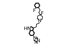 Fc1ccccc1CCC1(F)CCN(CCCc2c[nH]c3ccc(-n4cnnc4)cc23)CC1